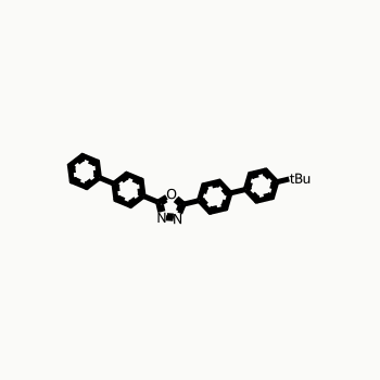 CC(C)(C)c1ccc(-c2ccc(-c3nnc(-c4ccc(-c5ccccc5)cc4)o3)cc2)cc1